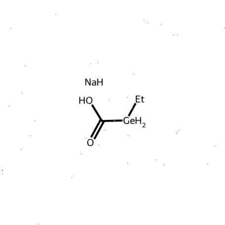 C[CH2][GeH2][C](=O)O.[NaH]